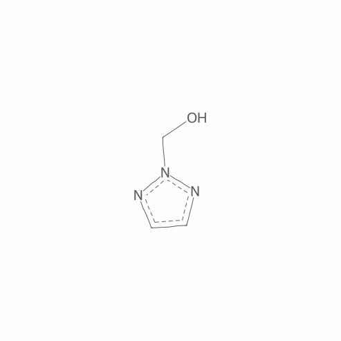 OCn1nccn1